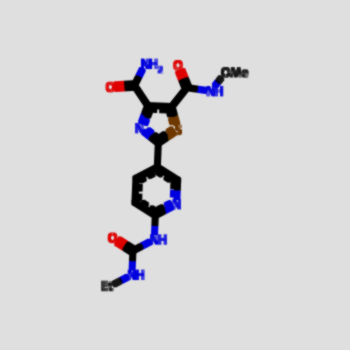 CCNC(=O)Nc1ccc(-c2nc(C(N)=O)c(C(=O)NOC)s2)cn1